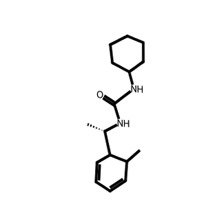 CC1C=CC=CC1[C@H](C)NC(=O)NC1CCCCC1